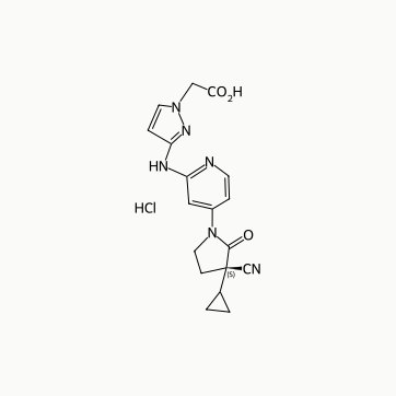 Cl.N#C[C@@]1(C2CC2)CCN(c2ccnc(Nc3ccn(CC(=O)O)n3)c2)C1=O